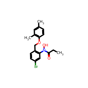 CCC(=O)N(O)c1cc(Br)ccc1COc1ccc(C)cc1C